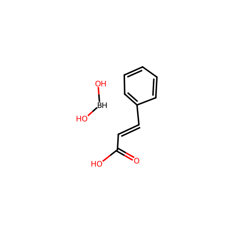 O=C(O)/C=C/c1ccccc1.OBO